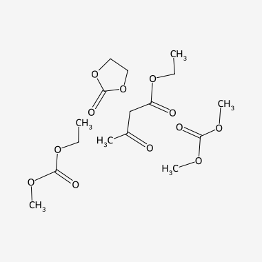 CCOC(=O)CC(C)=O.CCOC(=O)OC.COC(=O)OC.O=C1OCCO1